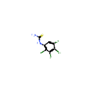 NC(=S)Nc1cc(Cl)c(Cl)c(Cl)c1Cl